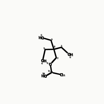 OCC(CO)(CO)COP(O)Cl